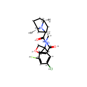 CC1(NC(=O)CN2[C@@H]3CC[C@H]2C[C@H](CNC(=O)c2cc(F)cc(Cl)c2)C3)COC1